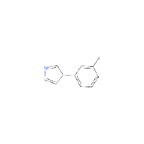 Cc1cccc(C2C=CN=C2)c1